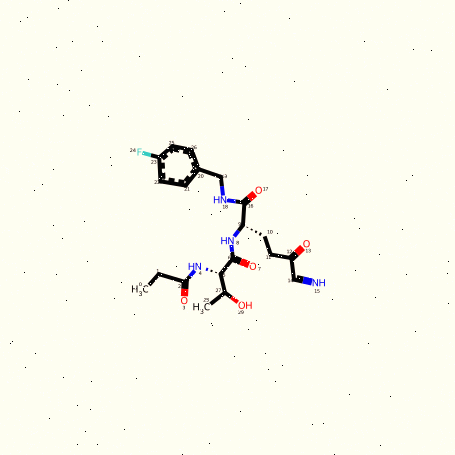 CCC(=O)N[C@H](C(=O)N[C@@H](CCC(=O)C=N)C(=O)NCc1ccc(F)cc1)C(C)O